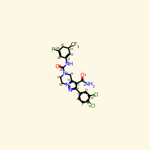 NC(=O)c1c(-c2ccc(Cl)c(Cl)c2)nn2c1CN(C(=O)NC1=CC(C(F)(F)F)CC(F)=C1)CC2